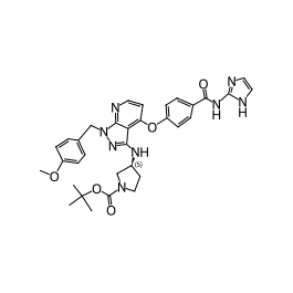 COc1ccc(Cn2nc(N[C@H]3CCN(C(=O)OC(C)(C)C)C3)c3c(Oc4ccc(C(=O)Nc5ncc[nH]5)cc4)ccnc32)cc1